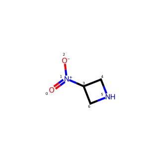 O=[N+]([O-])C1CNC1